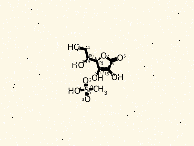 CS(=O)(=O)O.O=C1O[C@H]([C@@H](O)CO)C(O)=C1O